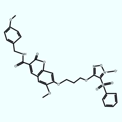 COc1ccc(CNC(=O)c2cc3cc(OC)c(OCCCOc4no[n+]([O-])c4S(=O)(=O)c4ccccc4)cc3oc2=O)cc1